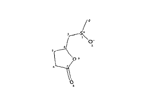 C[S+]([O-])CC1CCC(=O)O1